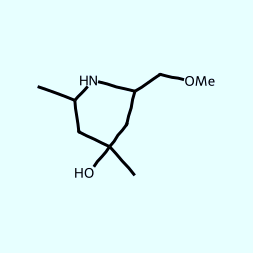 COCC1CC(C)(O)CC(C)N1